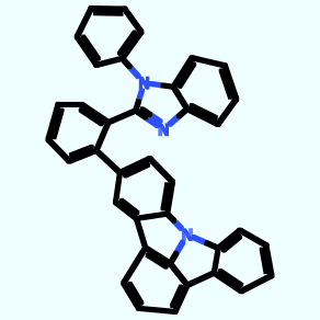 c1ccc(-n2c(-c3ccccc3-c3ccc4c(c3)c3cccc5c6ccccc6n4c53)nc3ccccc32)cc1